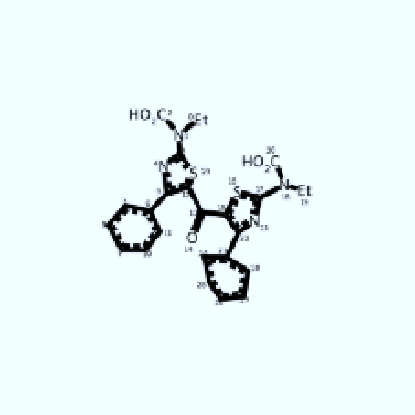 CCN(C(=O)O)c1nc(-c2ccccc2)c(C(=O)c2sc(N(CC)C(=O)O)nc2-c2ccccc2)s1